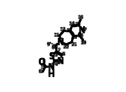 CC(=O)Nc1ncc([C@H](C)N2CCc3cc(C)nc(C)c3CC2)s1